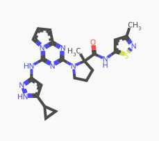 Cc1cc(NC(=O)C2(C)CCCN2c2nc(Nc3cc(C4CC4)[nH]n3)n3cccc3n2)sn1